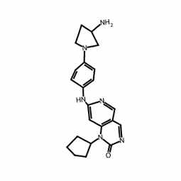 NC1CCN(c2ccc(Nc3cc4c(cn3)cnc(=O)n4C3CCCC3)cc2)C1